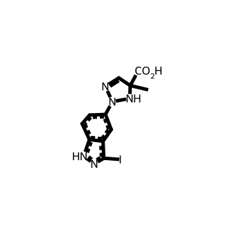 CC1(C(=O)O)C=NN(c2ccc3[nH]nc(I)c3c2)N1